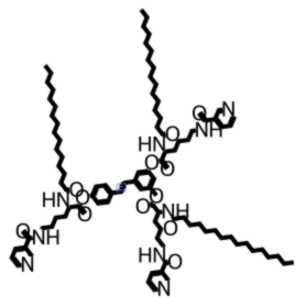 CCCCCCCCCCCCCCCC(=O)NC(CCCCNC(=O)c1cccnc1)C(=O)Oc1ccc(/C=C/c2cc(OC(=O)C(CCCCNC(=O)c3cccnc3)NC(=O)CCCCCCCCCCCCCCC)cc(OC(=O)C(CCCCNC(=O)c3cccnc3)NC(=O)CCCCCCCCCCCCCCC)c2)cc1